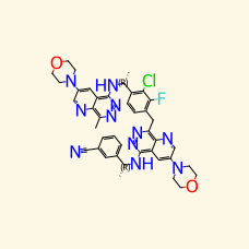 Cc1nnc(N[C@H](C)c2ccc(Cc3nnc(N[C@H](C)c4cccc(C#N)c4)c4cc(N5CCOCC5)cnc34)c(F)c2Cl)c2cc(N3CCOCC3)cnc12